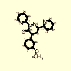 COc1cccc(C2CC(c3ccccn3)=NN(c3ccccn3)C2=O)c1